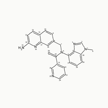 Cn1cnc2c(N(Cc3ccc4ccc(N)nc4c3)C(=O)c3cccnc3)cccc21